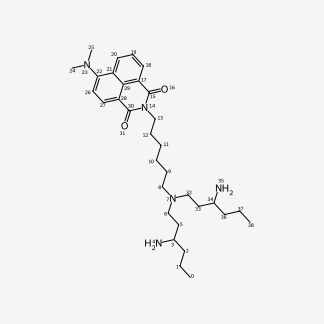 CCCC(N)CCN(CCCCCCN1C(=O)c2cccc3c(N(C)C)ccc(c23)C1=O)CCC(N)CCC